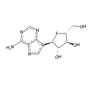 Nc1ncnc2c1ncn2[C@H]1S[C@H](CO)[C@@H](O)[C@@H]1O